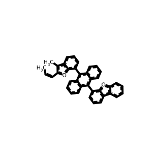 C/C=C\c1oc2c(-c3c4ccccc4c(-c4cccc5c4oc4ccccc45)c4ccccc34)cccc2c1C